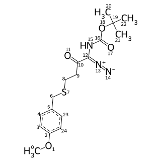 COc1ccc(CSCCC(=O)C(=[N+]=[N-])NC(=O)OC(C)(C)C)cc1